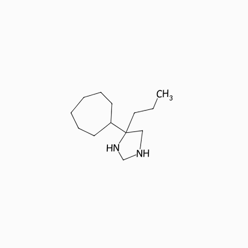 CCCC1(C2CCCCCC2)CNCN1